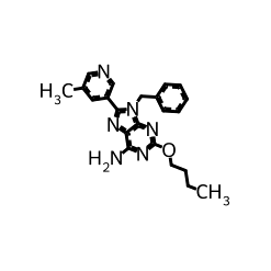 CCCCOc1nc(N)c2nc(-c3cncc(C)c3)n(Cc3ccccc3)c2n1